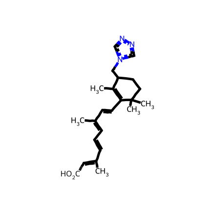 CC(C=CC1=C(C)C(Cn2cnnc2)CCC1(C)C)=CC=CC(C)=CC(=O)O